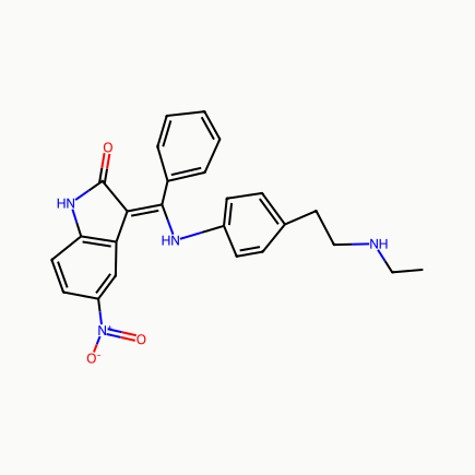 CCNCCc1ccc(NC(=C2C(=O)Nc3ccc([N+](=O)[O-])cc32)c2ccccc2)cc1